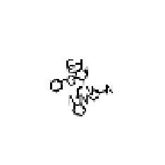 COc1cccc(/C=C/c2nc3ccccc3n2-c2ccc(C#N)cn2)c1OCc1ccccc1